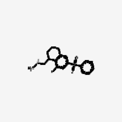 CNCC1CCCc2cc(S(=O)(=O)c3ccccc3)cc(F)c21